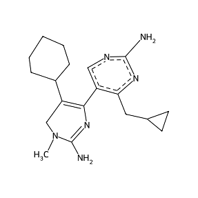 CN1CC(C2CCCCC2)=C(c2cnc(N)nc2CC2CC2)N=C1N